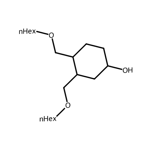 CCCCCCOCC1CCC(O)CC1COCCCCCC